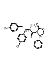 N[C@H](C(=O)N1C(=O)OC[C@@H]1c1ccccc1)[C@@H](Cc1ccc(F)cc1)c1ccc(Cl)cc1